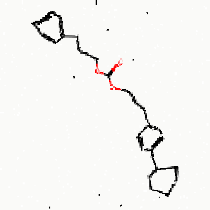 O=C(OCCCc1ccccc1)OCCCc1ccc(C2CCCCC2)cc1